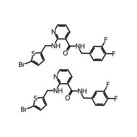 O=C(NCc1ccc(F)c(F)c1)c1cccnc1NCc1ccc(Br)s1.O=C(NCc1ccc(F)c(F)c1)c1cccnc1NCc1ccc(Br)s1